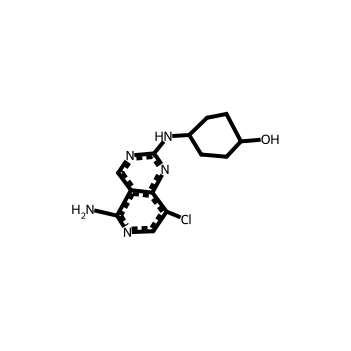 Nc1ncc(Cl)c2nc(NC3CCC(O)CC3)ncc12